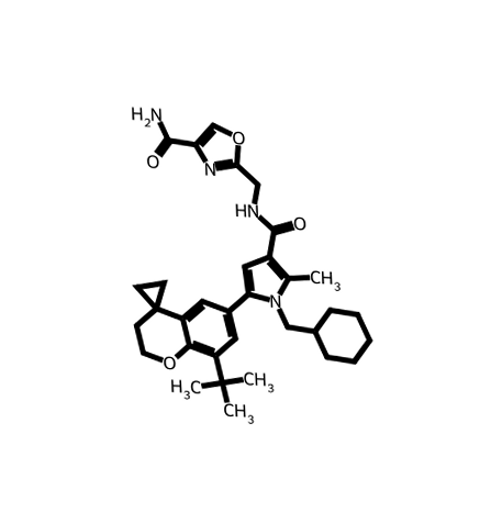 Cc1c(C(=O)NCc2nc(C(N)=O)co2)cc(-c2cc(C(C)(C)C)c3c(c2)C2(CCO3)CC2)n1CC1CCCCC1